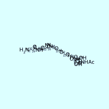 CC(=O)N[C@H]1[C@H]2OC[C@@](COCCOCCOCCOCCn3cc(COCCNC(=O)CCCN)nn3)(O2)[C@H](O)[C@@H]1O